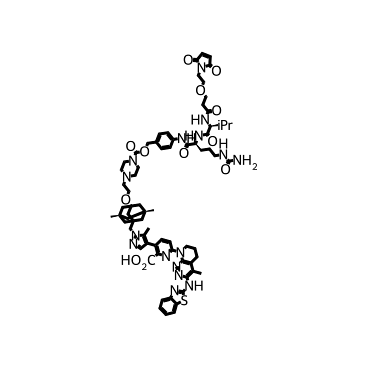 Cc1c(Nc2nc3ccccc3s2)nnc2c1CCCN2c1ccc(-c2cnn(CC34CC5(OCCN6CCN(C(=O)OCc7ccc(NC(=O)[C@H](CCCNC(N)=O)NC(=O)[C@@H](NC(=O)CCOCCN8C(=O)C=CC8=O)C(C)C)cc7)CC6)C[C@](C)(C3)C[C@](C)(C4)C5)c2C)c(C(=O)O)n1